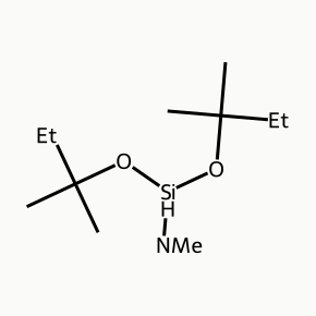 CCC(C)(C)O[SiH](NC)OC(C)(C)CC